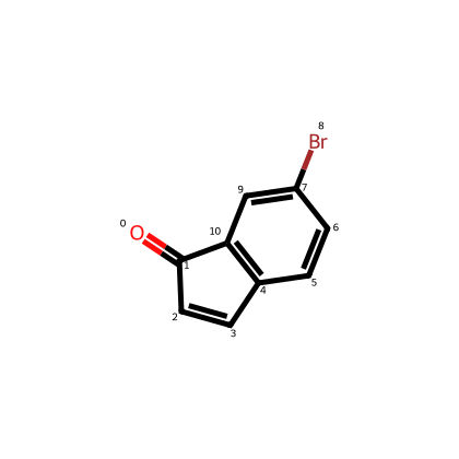 O=C1C=Cc2ccc(Br)cc21